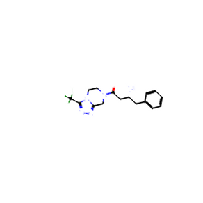 N[C@@H](CC(=O)N1CCn2c(nnc2C(F)(F)F)C1)Cc1ccccc1